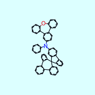 c1ccc(N(c2ccc3c(c2)-c2ccccc2Oc2ccccc2-3)c2ccc3c(c2)C2(c4ccccc4-c4ccccc4-c4ccccc42)c2ccccc2-3)cc1